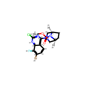 CC(C)(C)OC(=O)N1[C@@H]2CC[C@H]1CN(c1nc(Cl)nc3c(F)c(Br)ccc13)C2